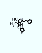 Cc1c(C)n(Cc2ccc(F)cc2)c2c(CCc3ccccc3)nccc12.Cl